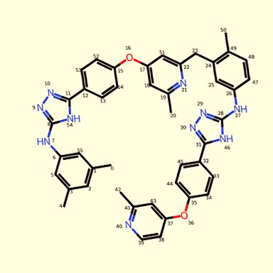 Cc1cc(C)cc(Nc2nnc(-c3ccc(Oc4cc(C)nc(Cc5cc(Nc6nnc(-c7ccc(Oc8ccnc(C)c8)cc7)[nH]6)ccc5C)c4)cc3)[nH]2)c1